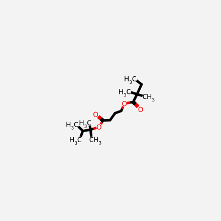 CCC(C)(C)C(=O)OCCCC(=O)OC(C)(C)C(C)C